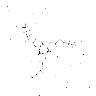 O=c1n(CC(I)CC(F)(F)C(F)(F)C(F)(F)C(F)(F)F)c(=O)n(CC(I)CC(F)(F)C(F)(F)C(F)(F)C(F)(F)F)c(=O)n1CC(I)CC(F)(F)C(F)(F)C(F)(F)C(F)(F)F